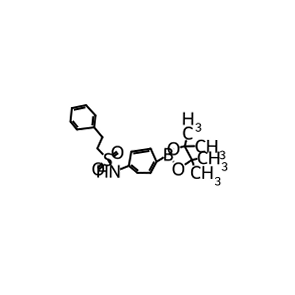 CC1(C)OB(c2ccc(NS(=O)(=O)CCc3ccccc3)cc2)OC1(C)C